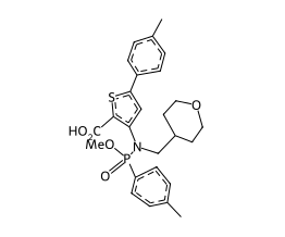 COP(=O)(c1ccc(C)cc1)N(CC1CCOCC1)c1cc(-c2ccc(C)cc2)sc1C(=O)O